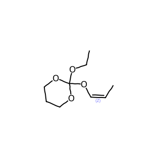 C/C=C\OC1(OCC)OCCCO1